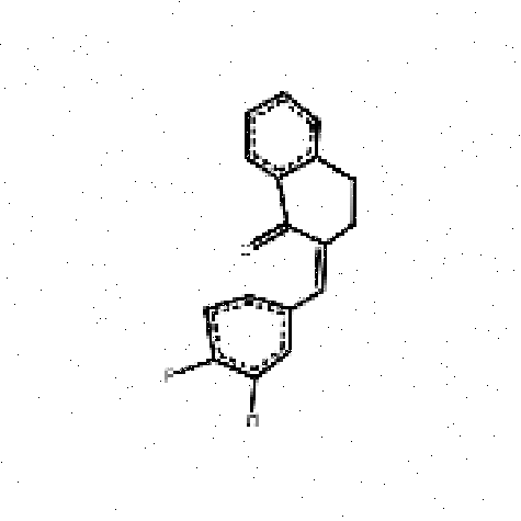 O=C1/C(=C\c2ccc(F)c(Cl)c2)CCc2ccccc21